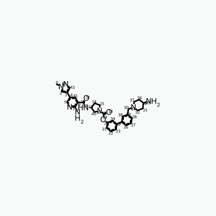 Cn1cc(-c2cnc(N)c(C(=O)N[C@@H]3CCN(C(=O)Oc4cccc(-c5cccc(CN6CCC(N)CC6)c5)c4)C3)c2)cn1